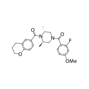 COc1ccc(C(=O)N2C[C@@H](C)N(C(=O)c3ccc4c(c3)CCCO4)[C@H](C)C2)c(F)c1